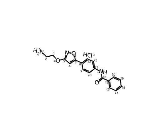 Cl.NCCOc1cc(-c2ccc(NC(=O)c3ccccc3)cc2)on1